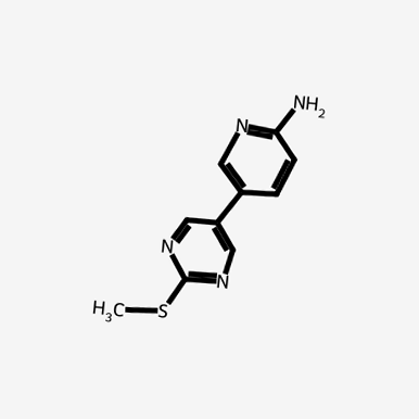 CSc1ncc(-c2ccc(N)nc2)cn1